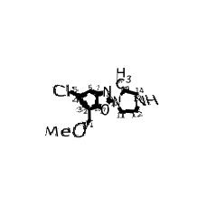 COCc1cc(Cl)cc2nc(N3CCNC[C@@H]3C)oc12